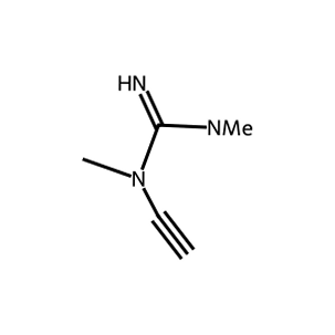 C#CN(C)C(=N)NC